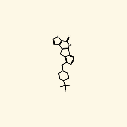 O=c1[nH]c2c(c3ccsc13)Cc1c(CN3CCC(C(F)(F)F)CC3)cccc1-2